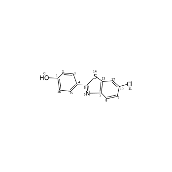 Oc1ccc(-c2nc3ccc(Cl)cc3s2)cc1